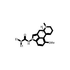 CCN(CC)C(=O)Nn1cc2c3c(c(SC)ccc31)C1=CCCN(C)[C@@H]1C2